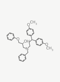 COc1ccc(C(CCN(Cc2ccccc2)C[C@H](O)COc2ccccc2)c2ccc(OC)cc2)cc1